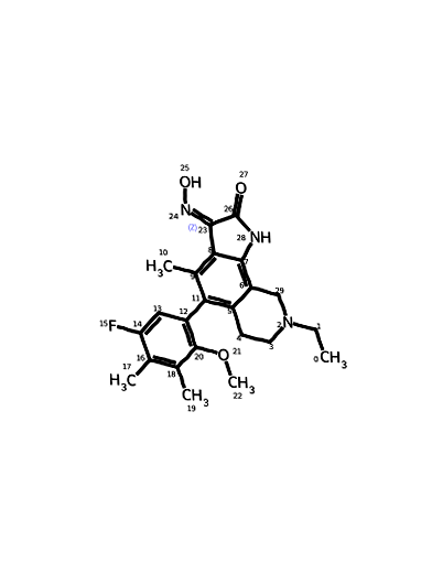 CCN1CCc2c(c3c(c(C)c2-c2cc(F)c(C)c(C)c2OC)/C(=N/O)C(=O)N3)C1